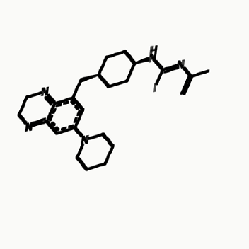 C=C(C)/N=C(\I)N[C@H]1CC[C@@H](Cc2cc(N3CCCCC3)cc3c2=NCCN=3)CC1